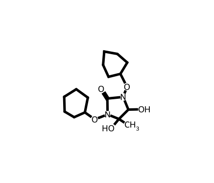 CC1(O)C(O)N(OC2CCCCC2)C(=O)N1OC1CCCCC1